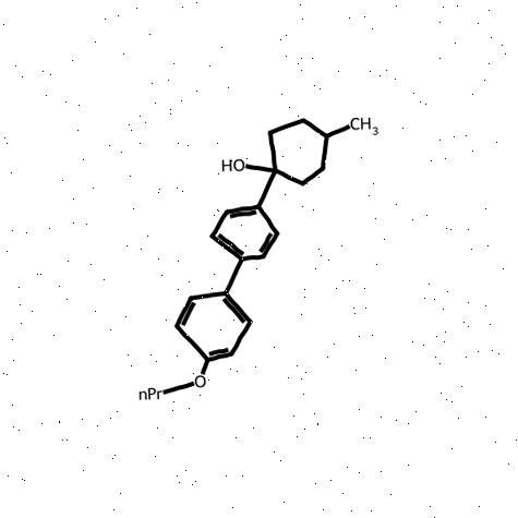 CCCOc1ccc(-c2ccc(C3(O)CCC(C)CC3)cc2)cc1